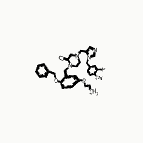 C=CCOc1ccc(OCc2ccccc2)c(CN2CCN(Cc3cncn3Cc3ccc(C#N)c(F)c3)CC2=O)c1